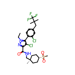 CCn1nc(C(=O)NC[C@]2(C)CC[C@@H](S(C)(=O)=O)CC2)c(Cl)c1-c1ccc(CC(C)(C)C(F)(F)F)cc1Cl